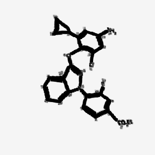 CCOC(=O)c1ccc(-n2nc(Oc3c(Cl)cc(N)cc3C3CC3)c3ccccc32)c(F)c1